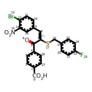 O=C(O)c1ccc(C(=O)/C(=C\c2ccc(Br)c([N+](=O)[O-])c2)SCc2ccc(F)cc2)cc1